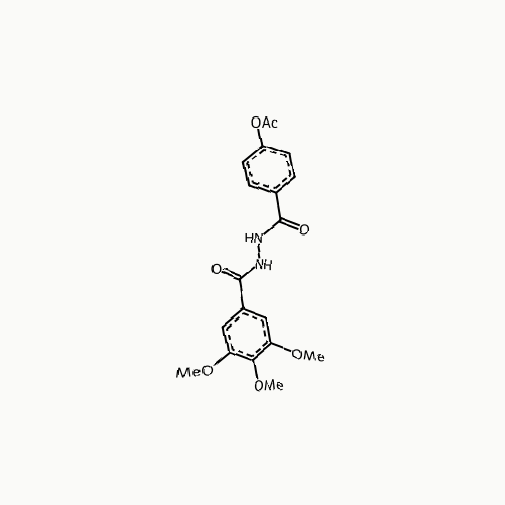 COc1cc(C(=O)NNC(=O)c2ccc(OC(C)=O)cc2)cc(OC)c1OC